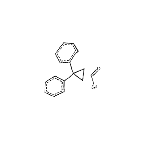 O=CO.c1ccc(C2(c3ccccc3)CC2)cc1